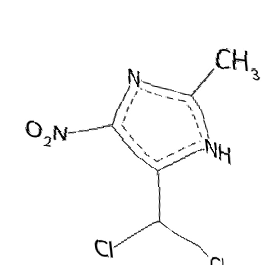 Cc1nc([N+](=O)[O-])c(C(Cl)Cl)[nH]1